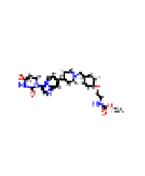 CC(C)(C)OC(=O)NCCOC1CCC(CN2CCC(c3ccn4c(N5CCC(=O)NC5=O)cnc4c3)CC2)CC1